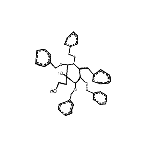 OCCC1(O)C(OCc2ccccc2)C(OCc2ccccc2)C(Cc2ccccc2)C(OCc2ccccc2)C1OCc1ccccc1